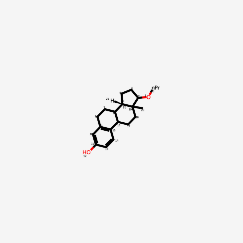 CCCOC1CC[C@H]2C3CCc4cc(O)ccc4C3CCC12C